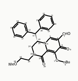 CCCCOc1c2n(cc(C=O)c1=O)[C@@H](C(c1ccccc1)c1ccccc1)CN(CCOC)C2=O